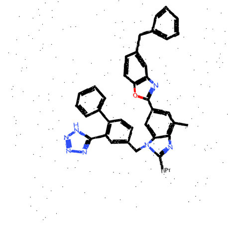 CCCc1nc2c(C)cc(-c3nc4cc(Cc5ccccc5)ccc4o3)cc2n1Cc1ccc(-c2ccccc2)c(-c2nnn[nH]2)c1